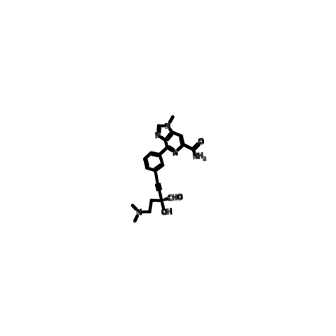 CN(C)CC[C@@](O)(C#Cc1cccc(-c2nc(C(N)=O)cc3c2ncn3C)c1)C=O